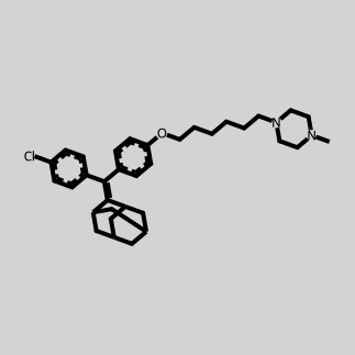 CN1CCN(CCCCCCOc2ccc(C(=C3C4CC5CC(C4)CC3C5)c3ccc(Cl)cc3)cc2)CC1